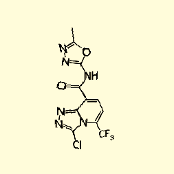 Cc1nnc(NC(=O)c2ccc(C(F)(F)F)n3c(Cl)nnc23)o1